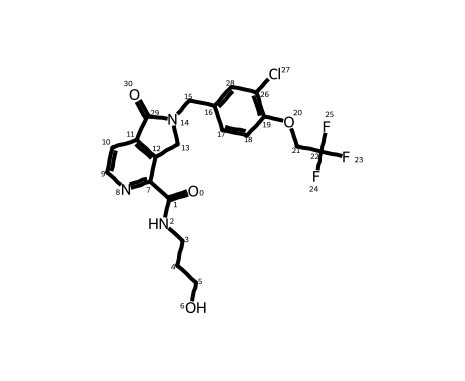 O=C(NCCCO)c1nccc2c1CN(Cc1ccc(OCC(F)(F)F)c(Cl)c1)C2=O